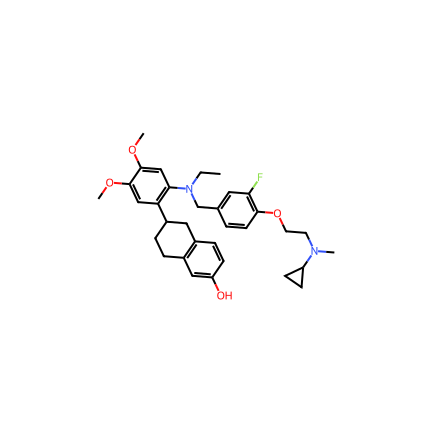 CCN(Cc1ccc(OCCN(C)C2CC2)c(F)c1)c1cc(OC)c(OC)cc1C1CCc2cc(O)ccc2C1